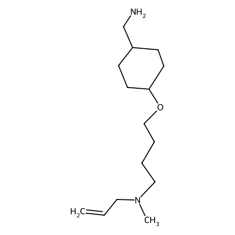 C=CCN(C)CCCCOC1CCC(CN)CC1